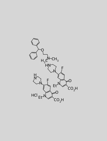 CCn1cc(C(=O)O)c(=O)c2cc(F)c(N3CCNCC3)cc21.CCn1cc(C(=O)O)c(=O)c2cc(F)c(N3CCNCC3)cc21.CN(C)CCOC(c1ccccc1)c1ccccc1.Cl